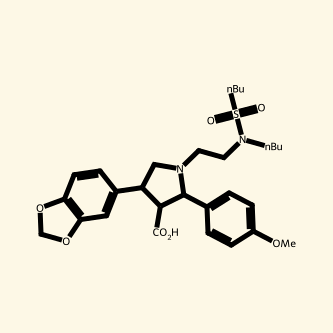 CCCCN(CCN1CC(c2ccc3c(c2)OCO3)C(C(=O)O)C1c1ccc(OC)cc1)S(=O)(=O)CCCC